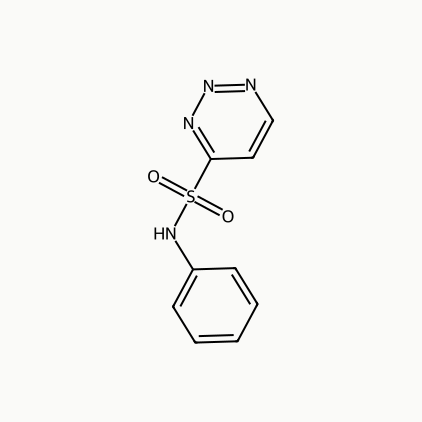 O=S(=O)(Nc1ccccc1)c1ccnnn1